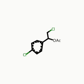 CC(=O)OC(CCl)c1ccc(Cl)cc1